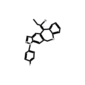 CC/C(Br)=C1\c2cc3cnn(-c4ccc(F)cc4)c3cc2COc2ccccc21